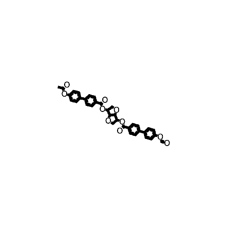 CC(=O)Oc1ccc(-c2ccc(C(=O)OC3COC4C(OC(=O)c5ccc(-c6ccc(OC=O)cc6)cc5)COC34)cc2)cc1